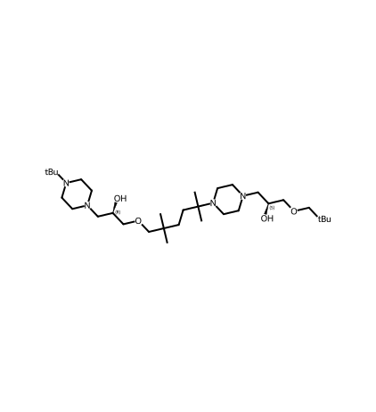 CC(C)(C)COC[C@@H](O)CN1CCN(C(C)(C)CCC(C)(C)COC[C@H](O)CN2CCN(C(C)(C)C)CC2)CC1